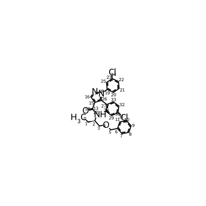 CC[C@H](COCc1ccccc1)NC(=O)c1cnn(-c2cccc(Cl)c2)c1-c1ccc(Cl)cc1